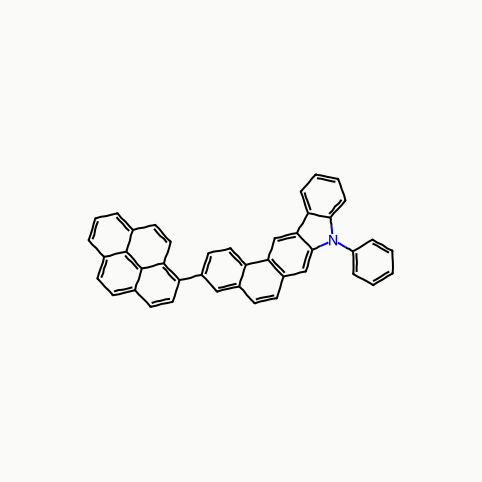 c1ccc(-n2c3ccccc3c3cc4c(ccc5cc(-c6ccc7ccc8cccc9ccc6c7c89)ccc54)cc32)cc1